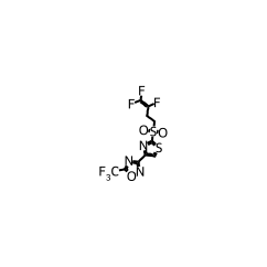 O=S(=O)(CCC(F)=C(F)F)c1nc(-c2noc(C(F)(F)F)n2)cs1